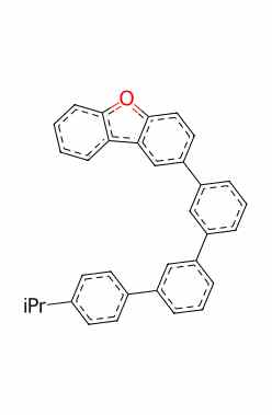 CC(C)c1ccc(-c2cccc(-c3cccc(-c4ccc5oc6ccccc6c5c4)c3)c2)cc1